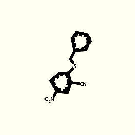 N#Cc1cc([N+](=O)[O-])ccc1SCc1ccccc1